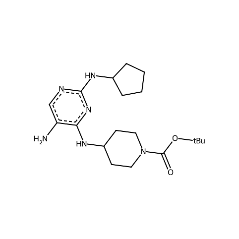 CC(C)(C)OC(=O)N1CCC(Nc2nc(NC3CCCC3)ncc2N)CC1